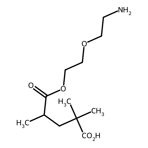 CC(CC(C)(C)C(=O)O)C(=O)OCCOCCN